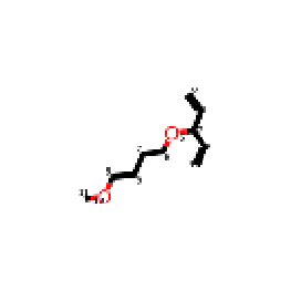 C=CC(C=C)OCCCCOC